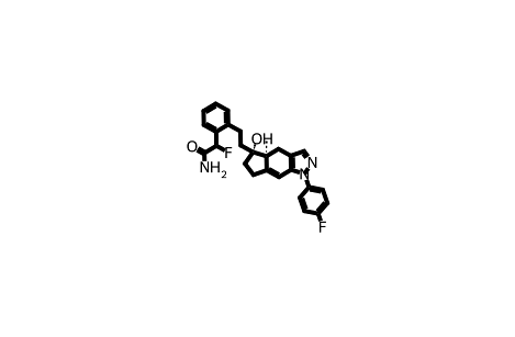 C[C@]12Cc3cnn(-c4ccc(F)cc4)c3C=C1CC[C@@]2(O)CCc1ccccc1C(F)C(N)=O